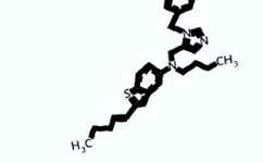 CCCC=Cc1cc2cc(N(CCCC)Cc3cncn3Cc3ccccc3)ccc2s1